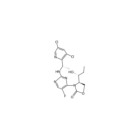 CC[C@@H](O)[C@H]1COC(=O)N1c1nc(N[C@@H](C)c2ncc(Cl)cc2Cl)ncc1F